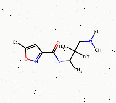 CCCC(C)(CN(C)CC)C(C)NC(=O)c1cc(CC)on1